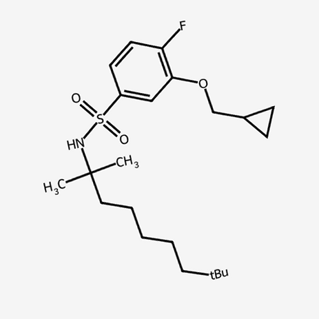 CC(C)(C)CCCCCC(C)(C)NS(=O)(=O)c1ccc(F)c(OCC2CC2)c1